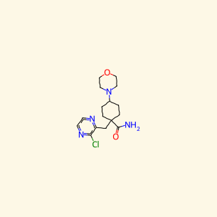 NC(=O)C1(Cc2nccnc2Cl)CCC(N2CCOCC2)CC1